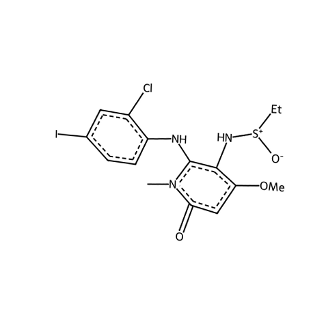 CC[S+]([O-])Nc1c(OC)cc(=O)n(C)c1Nc1ccc(I)cc1Cl